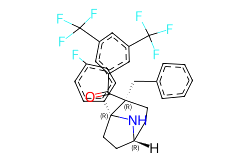 O=C(c1cc(C(F)(F)F)cc(C(F)(F)F)c1)[C@@]1(Cc2ccccc2)CC[C@@H]2CC[C@]1(c1ccc(F)cc1)N2